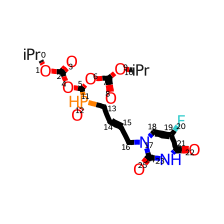 CC(C)OC(=O)OC(OC(=O)OC(C)C)[PH](=O)C/C=C/Cn1cc(F)c(=O)[nH]c1=O